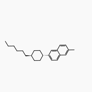 CCCCCC[C@H]1CC[C@H](c2ccc3cc(C)ccc3c2)CC1